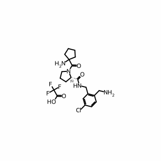 NCc1ccc(Cl)cc1CNC(=O)[C@@H]1CCCN1C(=O)C1(N)CCCC1.O=C(O)C(F)(F)F